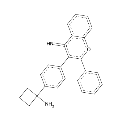 N=c1c(-c2ccc(C3(N)CCC3)cc2)c(-c2ccccc2)oc2ccccc12